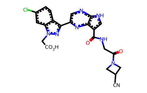 N#CC1CN(C(=O)CNC(=O)c2c[nH]c3ncc(-c4nn(CC(=O)O)c5cc(Cl)ccc45)nc23)C1